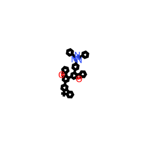 CC1(C)c2ccccc2-c2cc(-c3cc(-c4cc(-c5ccc(-c6nc(-c7ccccc7)nc(-c7ccccc7)n6)cc5)c5c(c4)oc4ccccc45)c4c(c3)oc3ccccc34)ccc21